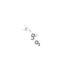 CO[C@@H]1CN(CCOc2cc3nccc(Oc4ccc5[nH]c(C)cc5c4F)c3c3c2OCC3)C[C@H]1OC